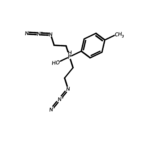 Cc1ccc([PH](O)(CCN=[N+]=[N-])CCN=[N+]=[N-])cc1